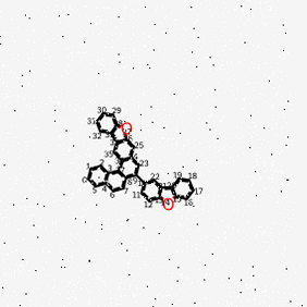 c1ccc2c(c1)ccc1c(-c3ccc4oc5ccccc5c4c3)cc3cc4oc5ccccc5c4cc3c12